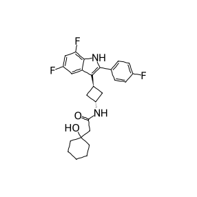 O=C(CC1(O)CCCCC1)N[C@H]1C[C@H](c2c(-c3ccc(F)cc3)[nH]c3c(F)cc(F)cc32)C1